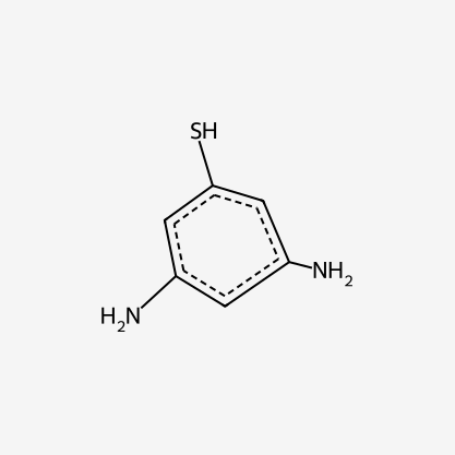 Nc1cc(N)cc(S)c1